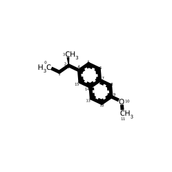 CC[C@@H](C)c1ccc2cc(OC)ccc2c1